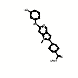 CNC(=O)c1ccc(-c2cc3cnc(Nc4cccc(O)c4)cc3n2C)cc1